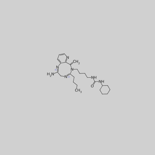 C=C1c2ncccc2/N=C(/N)C/N=C(/CCCC)N1CCCCNC(=O)NC1CCCCC1